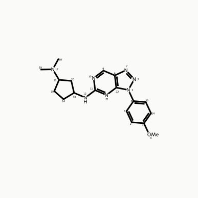 COc1ccc(-n2nnc3cnc(NC4CCC(N(C)C)C4)nc32)cc1